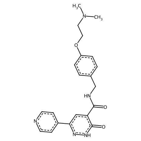 CN(C)CCOc1ccc(CNC(=O)c2cc(-c3ccncc3)n[nH]c2=O)cc1